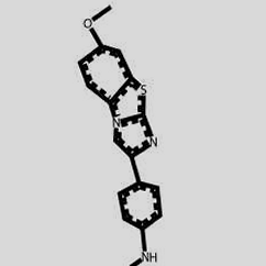 CNc1ccc(-c2cn3c(n2)sc2cc(OC)ccc23)cc1